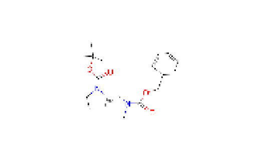 CN(C[C@@H]1CCCN1C(=O)OC(C)(C)C)C(=O)OCc1ccccc1